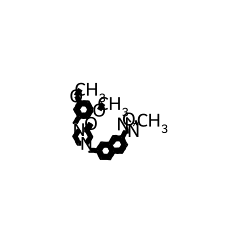 COc1cc(CN2CCN(Cc3ccc4ccc(-c5noc(C)n5)cc4c3)CC2=O)cc(OC)c1